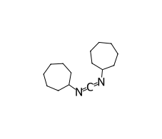 C(=NC1CCCCCC1)=NC1CCCCCC1